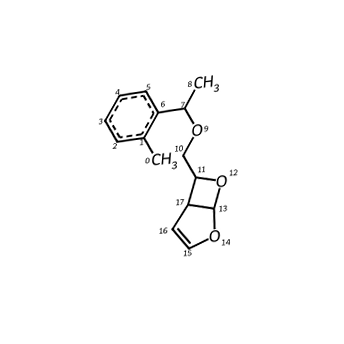 Cc1ccccc1C(C)OCC1OC2OC=CC12